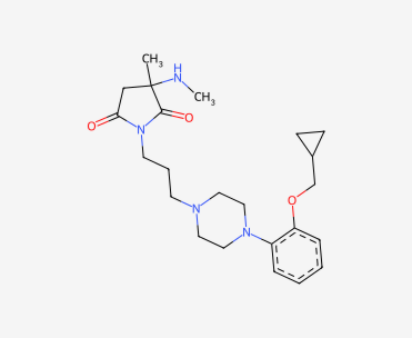 CNC1(C)CC(=O)N(CCCN2CCN(c3ccccc3OCC3CC3)CC2)C1=O